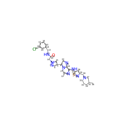 Cc1cn2c(-c3cnn(CC(=O)NCc4cccc(Cl)c4)c3)cnc2c(Nc2cc(CN3CCCC(C)C3)ns2)n1